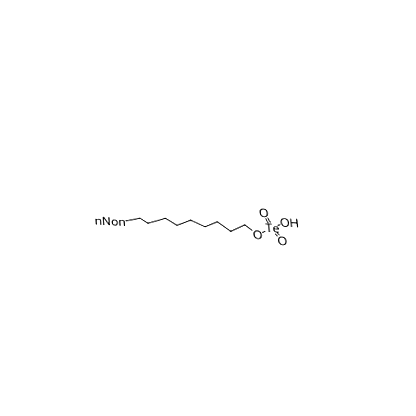 CCCCCCCCCCCCCCCCCCO[Te](=O)(=O)O